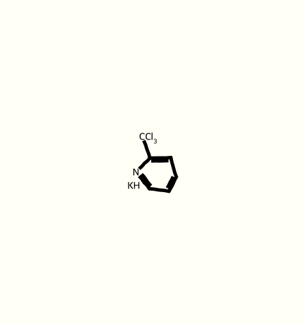 ClC(Cl)(Cl)c1ccccn1.[KH]